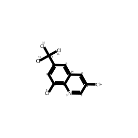 Clc1cnc2c(Cl)cc(C(Cl)(Cl)Cl)cc2c1